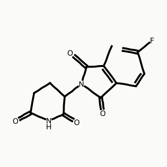 C=C(F)/C=C\C1=C(C)C(=O)N(C2CCC(=O)NC2=O)C1=O